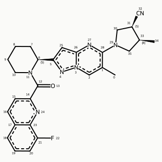 Cc1cn2nc([C@@H]3CCCCN3C(=O)c3ccc4cccc(F)c4n3)cc2nc1N1C[C@@H](C#N)[C@@H](C)C1